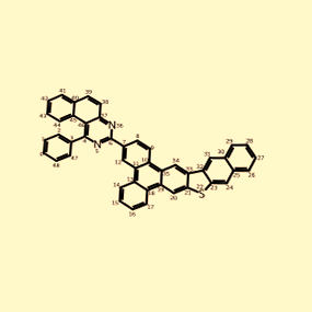 c1ccc(-c2nc(-c3ccc4c(c3)c3ccccc3c3cc5sc6cc7ccccc7cc6c5cc43)nc3ccc4ccccc4c23)cc1